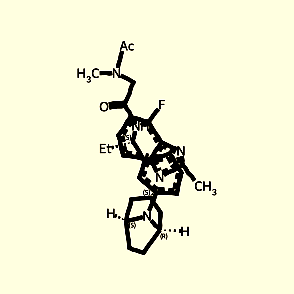 CC[C@H](NC(=O)CN(C)C(C)=O)c1cccc(N2[C@@H]3CC[C@H]2C[C@H](n2c(C)nc4c(F)cccc42)C3)c1